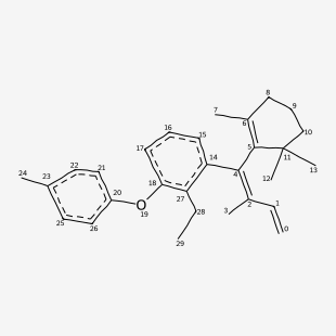 C=CC(C)=C(C1=C(C)CCCC1(C)C)c1cccc(Oc2ccc(C)cc2)c1CC